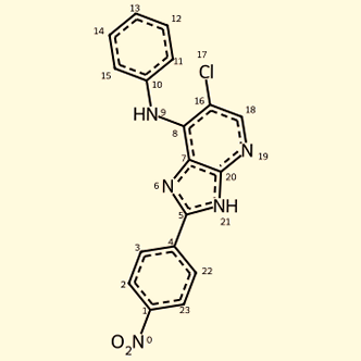 O=[N+]([O-])c1ccc(-c2nc3c(Nc4ccccc4)c(Cl)cnc3[nH]2)cc1